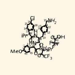 COc1ccc([C@H](NC(=O)[C@H](Cc2ccc(CN)cc2)NC(=O)[C@@H](c2ccc(Cl)cc2)C(C)C)C(=O)N[C@H](C(=O)C(F)(F)F)C(C)C)cc1.O=C(O)C(F)(F)F